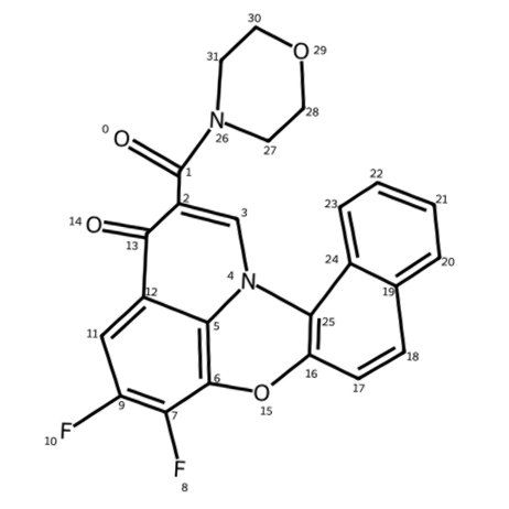 O=C(c1cn2c3c(c(F)c(F)cc3c1=O)Oc1ccc3ccccc3c1-2)N1CCOCC1